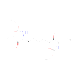 CCCCC[C@H](NC(=O)OC(C)(C)C)C(=O)CCCCC[C@H](NC(=O)OC(C)(C)C)C(=O)OC